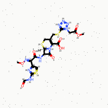 CO/N=C(/C(=O)NC1C(=O)N2C(C(=O)O)=C(CSc3nnnn3CC(=O)OC)CS[C@H]12)c1csc(NC=O)n1